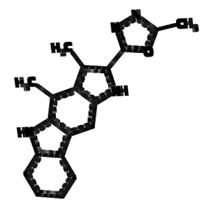 Cc1nnc(-c2[nH]c3cc4c([nH]c5ccccc54)c(C)c3c2C)o1